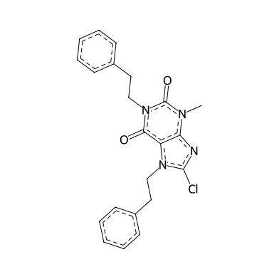 Cn1c(=O)n(CCc2ccccc2)c(=O)c2c1nc(Cl)n2CCc1ccccc1